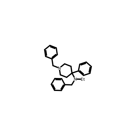 CCN(Cc1ccccc1)C1(c2ccccc2)CCN(Cc2ccccc2)CC1